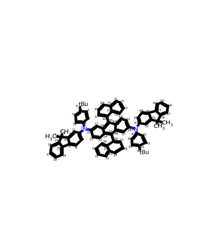 CC(C)(C)c1ccc(N(c2ccc3c(c2)C(C)(C)c2ccccc2-3)c2ccc3c(-c4cccc5ccccc45)c4cc(N(c5ccc(C(C)(C)C)cc5)c5ccc6c(c5)C(C)(C)c5ccccc5-6)ccc4c(-c4cccc5ccccc45)c3c2)cc1